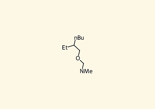 CCCCC(CC)COCNC